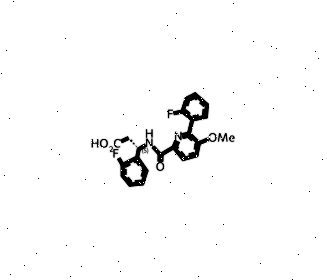 COc1ccc(C(=O)N[C@@H](CC(=O)O)c2ccccc2F)nc1-c1ccccc1F